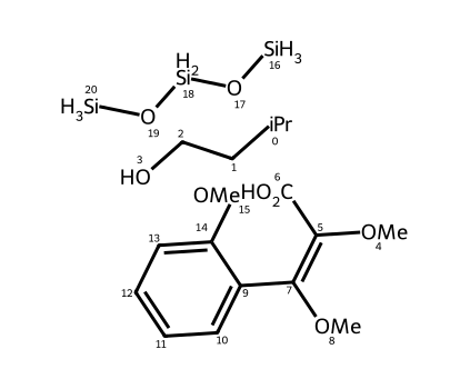 CC(C)CCO.COC(C(=O)O)=C(OC)c1ccccc1OC.[SiH3]O[SiH2]O[SiH3]